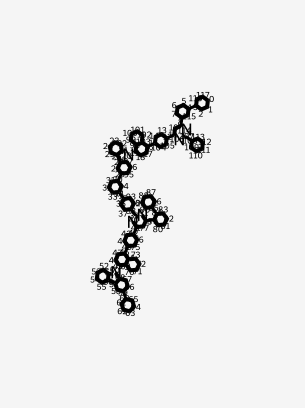 c1ccc(-c2cccc(-c3cc(-c4ccc(-c5ccc(-n6c7ccccc7c7cc(-c8cccc(-c9ccc(-c%10nc(-c%11ccc(-c%12ccc(-n%13c%14ccccc%14c%14cc(-c%15ccccc%15)ccc%14%13)c%13ccccc%12%13)cc%11)cc(-c%11ccccc%11-c%11ccccc%11)n%10)cc9)c8)ccc76)c6ccccc56)cc4)nc(-c4ccccc4)n3)c2)cc1